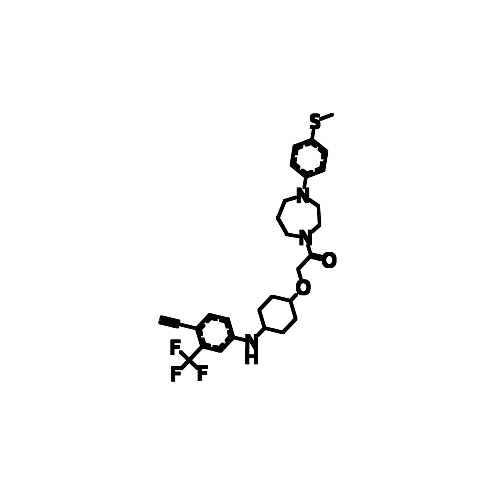 C#Cc1ccc(NC2CCC(OCC(=O)N3CCCN(c4ccc(SC)cc4)CC3)CC2)cc1C(F)(F)F